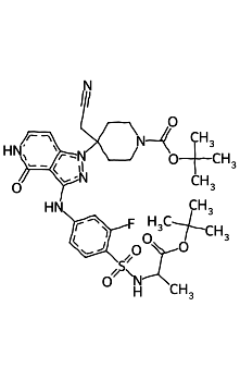 CC(NS(=O)(=O)c1ccc(Nc2nn(C3(CC#N)CCN(C(=O)OC(C)(C)C)CC3)c3cc[nH]c(=O)c23)cc1F)C(=O)OC(C)(C)C